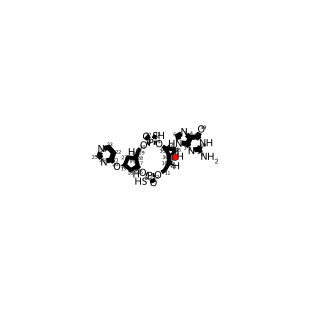 Nc1nc2c(ncn2[C@@H]2O[C@@H]3COP(=O)(S)O[C@H]4C[C@H](Oc5ccncn5)C[C@@H]4COP(=O)(S)O[C@@H]2[C@@H]3O)c(=O)[nH]1